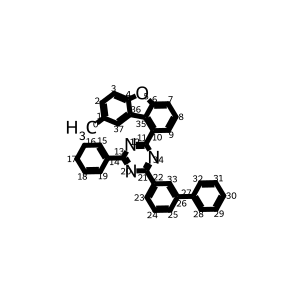 Cc1ccc2oc3cccc(-c4nc(C5=CCCC=C5)nc(-c5cccc(-c6ccccc6)c5)n4)c3c2c1